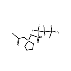 CCC(=O)CS1(OS(=O)(=O)C(F)(F)C(F)(F)C(F)(F)C(F)(F)F)CCCC1